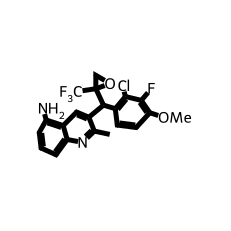 COc1ccc(C(c2cc3c(N)cccc3nc2C)C2(C(F)(F)F)CO2)c(Cl)c1F